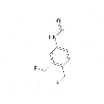 O=[C]Nc1ccc(CF)c(CF)c1